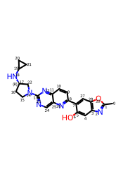 Cc1nc2cc(O)c(-c3ccc4nc(N5CC[C@@H](NC6CC6)C5)ncc4n3)cc2o1